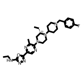 CCNc1nnc(-c2cnc(N3CCN(C4CCN(Cc5ccc(F)cc5)CC4)[C@@H](CC)C3)c(C)n2)o1